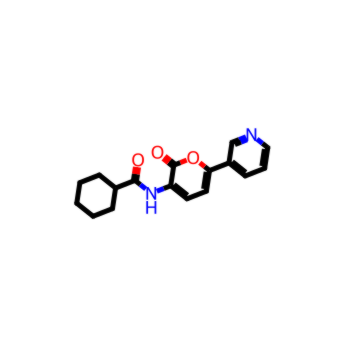 O=C(Nc1ccc(-c2cccnc2)oc1=O)C1CCCCC1